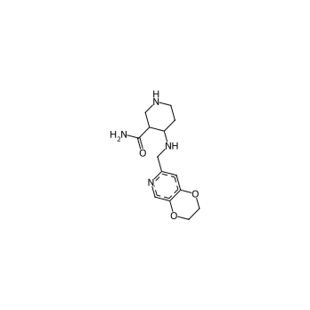 NC(=O)C1CNCCC1NCc1cc2c(cn1)OCCO2